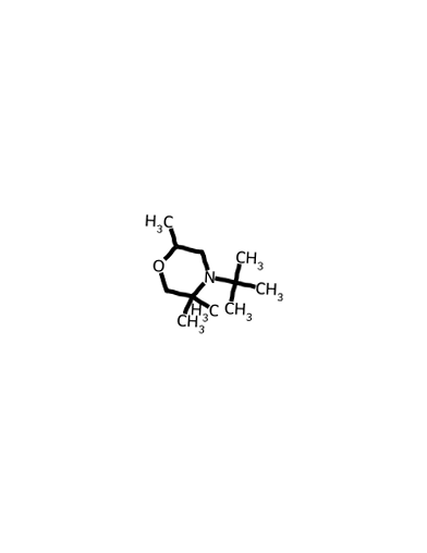 CC1CN(C(C)(C)C)C(C)(C)CO1